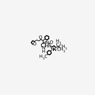 Cc1ccc(-n2nc(C(C)(C)C)cc2NC(=O)Nc2ccccc2C(C(=O)CCc2ccco2)C2CCNCC2)cc1